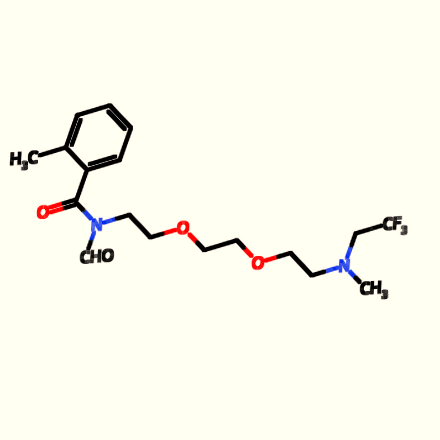 Cc1ccccc1C(=O)N(C=O)CCOCCOCCN(C)CC(F)(F)F